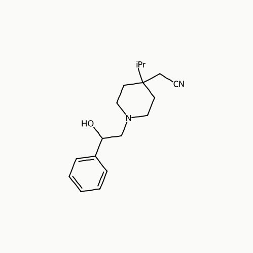 CC(C)C1(CC#N)CCN(CC(O)c2ccccc2)CC1